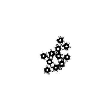 c1ccc(N(c2ccccc2)c2ccc(N(c3ccccc3)c3ccc4oc5ccc(N(c6ccccc6)c6ccc7oc8ccc(N(c9ccccc9)c9ccccc9)cc8c7c6)cc5c4c3)cc2)cc1